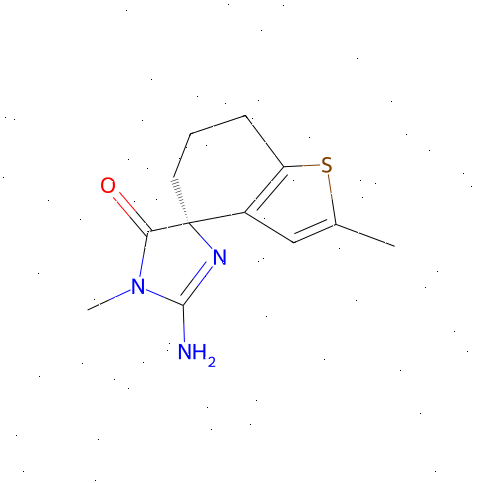 Cc1cc2c(s1)CCC[C@@]21N=C(N)N(C)C1=O